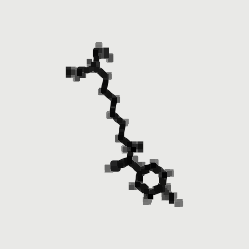 CN(C)CCCCCCNC(=O)c1ccc([18F])nc1